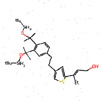 CCC(=CCO)c1cc(CCc2ccc(C(C)(C)O[SiH2]C(C)(C)C)c(C(C)(C)O[SiH2]C(C)(C)C)c2)cs1